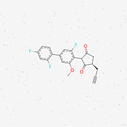 C#CC[C@@H]1CC(=O)C(c2c(F)cc(-c3ccc(F)cc3F)cc2OC)C1=O